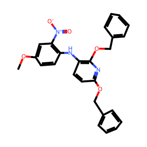 COc1ccc(Nc2ccc(OCc3ccccc3)nc2OCc2ccccc2)c([N+](=O)[O-])c1